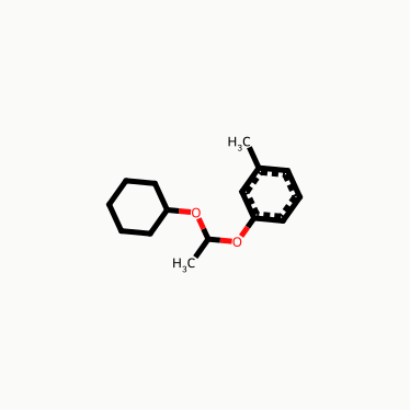 Cc1cccc(OC(C)OC2CCCCC2)c1